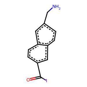 NCc1ccc2cc(C(=O)I)ccc2c1